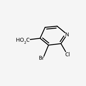 O=C(O)c1ccnc(Cl)c1Br